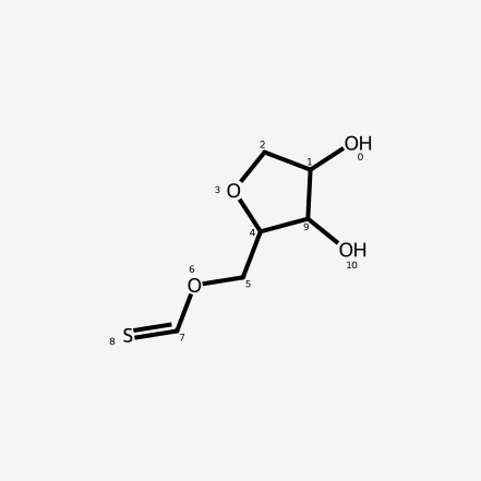 OC1COC(COC=S)C1O